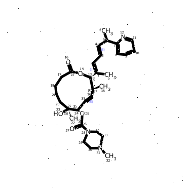 C/C(=C\C=C\C(C)c1ccccn1)[C@H]1OC(=O)CCCC[C@](C)(O)[C@@H](OC(=O)N2CCN(C)CC2)/C=C/[C@@H]1C